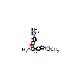 Cc1cc2oc3cc4cc(N5CCC(C)CC5)ccc4cc3c2c2c1oc1cc3cc(N4CCC(C)CC4)ccc3cc12